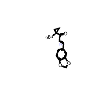 CCCCC1(C(=O)/C=C/c2ccc3c(c2)OCO3)CC1